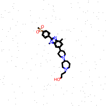 Cc1cc(C2CCN(C3CCCN(CCCO)CC3)CC2)cc2c1nc(-c1ccc(S(C)(=O)=O)cc1)n2C